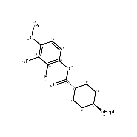 CCCCCCC[C@H]1CC[C@H](C(=O)Oc2ccc(OCCC)c(F)c2F)CC1